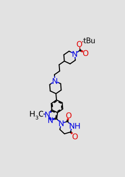 Cn1nc(N2CCC(=O)NC2=O)c2ccc(C3CCN(CCCC4CCN(C(=O)OC(C)(C)C)CC4)CC3)cc21